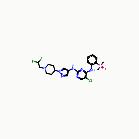 CP(C)(=O)c1ccccc1Nc1nc(Nc2cnn(C3CCN(CC(F)F)CC3)c2)ncc1Cl